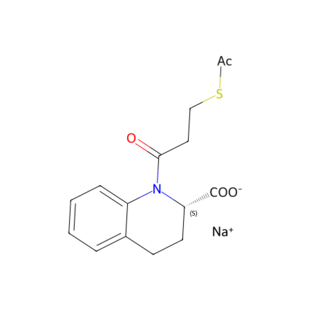 CC(=O)SCCC(=O)N1c2ccccc2CC[C@H]1C(=O)[O-].[Na+]